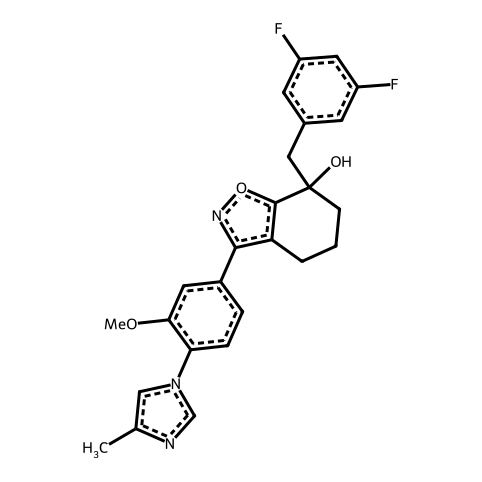 COc1cc(-c2noc3c2CCCC3(O)Cc2cc(F)cc(F)c2)ccc1-n1cnc(C)c1